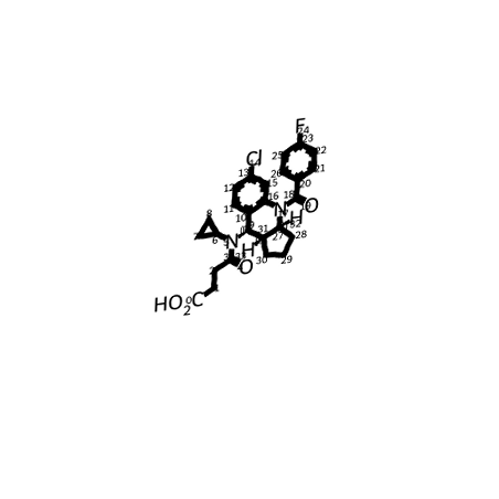 O=C(O)CCC(=O)N(C1CC1)[C@H]1c2ccc(Cl)cc2N(C(=O)c2ccc(F)cc2)[C@@H]2CCC[C@@H]21